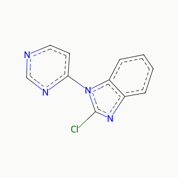 Clc1nc2ccccc2n1-c1ccncn1